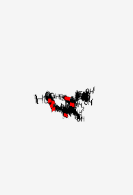 CC(C)(C)c1nn(-c2nc(NCCS(=O)(=O)O)nc(-n3nc(C(C)(C)C)c(N=Nc4nnc(Sc5ccc(C(=O)O)c(C(=O)O)c5)s4)c3N)n2)c(N)c1N=Nc1nnc(Sc2ccc(C(=O)O)c(C(=O)O)c2)s1